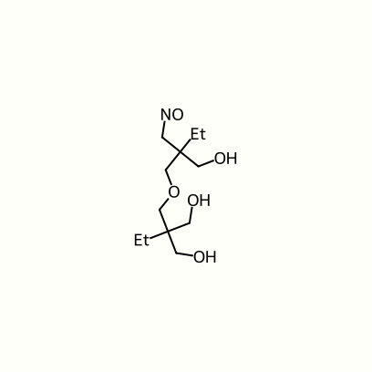 CCC(CO)(CO)COCC(CC)(CO)CN=O